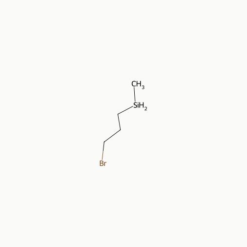 C[SiH2]CCCBr